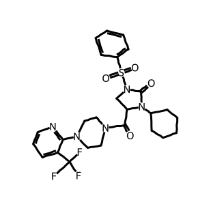 O=C(C1CN(S(=O)(=O)c2ccccc2)C(=O)N1C1CCCCC1)N1CCN(c2ncccc2C(F)(F)F)CC1